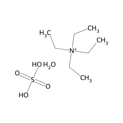 CC[N+](CC)(CC)CC.O.O=S(=O)(O)O